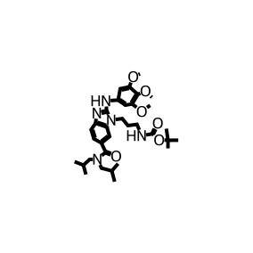 COc1cc(Nc2nc3ccc(C(=O)N(CC(C)C)CC(C)C)cc3n2CCCNC(=O)OC(C)(C)C)cc(OC)c1OC